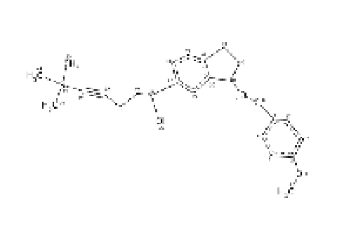 COc1ccc(COC2CCc3ccc(C(O)CCC#CS(C)(C)C)cc32)cc1